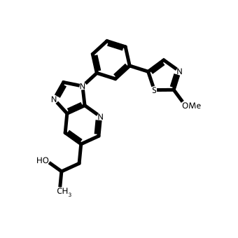 COc1ncc(-c2cccc(-n3cnc4cc(CC(C)O)cnc43)c2)s1